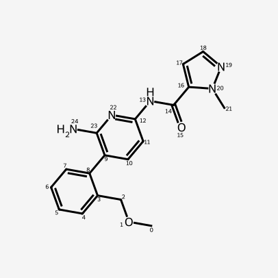 COCc1ccccc1-c1ccc(NC(=O)c2ccnn2C)nc1N